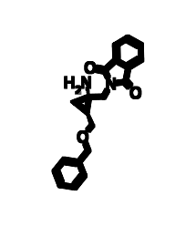 N[C@@]1(CN2C(=O)c3ccccc3C2=O)C[C@@H]1COCc1ccccc1